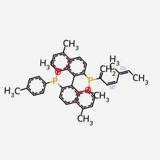 C=C(/C=C\C(C)=C/C)P(c1ccc(C)cc1)c1cccc(OC)c1-c1c(OC)cccc1P(c1ccc(C)cc1)c1ccc(C)cc1